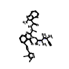 B/C(C#C)=C(B)/C(B)=C(/B)Cn1c([C@H](C)NC(=O)c2c(N)nn3cccnc23)nc2cccc(C#Cc3cnn(C)c3C)c2c1=O